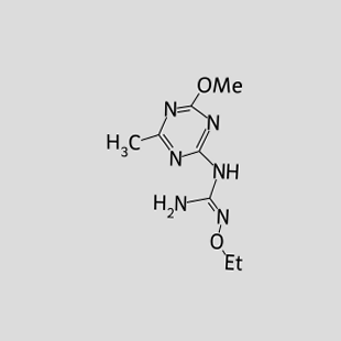 CCO/N=C(\N)Nc1nc(C)nc(OC)n1